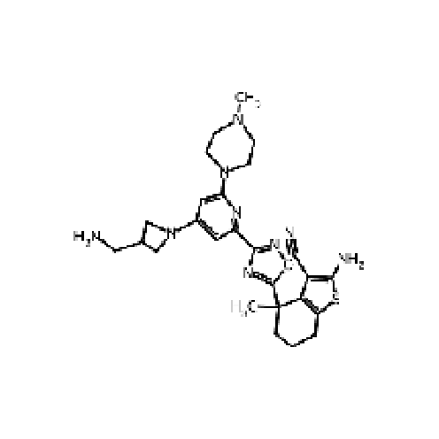 CN1CCN(c2cc(N3CC(CN)C3)cc(-c3noc(C4(C)CCCc5sc(N)c(C#N)c54)n3)n2)CC1